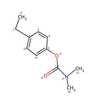 CCc1ccc(OC(=O)N(C)C)cc1